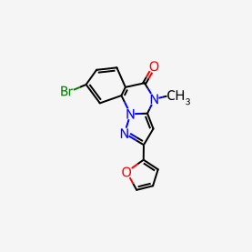 Cn1c(=O)c2ccc(Br)cc2n2nc(-c3ccco3)cc12